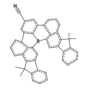 CC1(C)c2ccccc2-c2cc3c4c(cccc4c21)-c1cc(C#N)cc2c1B3c1cc3c(c4cccc-2c14)C(C)(C)c1ccccc1-3